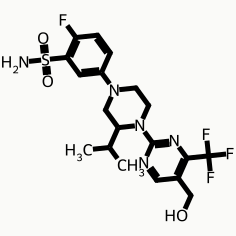 CC(C)C1CN(c2ccc(F)c(S(N)(=O)=O)c2)CCN1c1ncc(CO)c(C(F)(F)F)n1